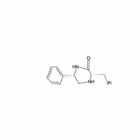 CC(C)C[C@@H]1NC[C@H](c2ccccc2)NC1=O